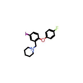 Fc1ccc(Oc2ccc(I)cc2CN2CCCCC2)cc1